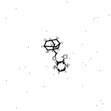 Clc1nccnc1OCC12CC3CC(CC(C3)C1)C2